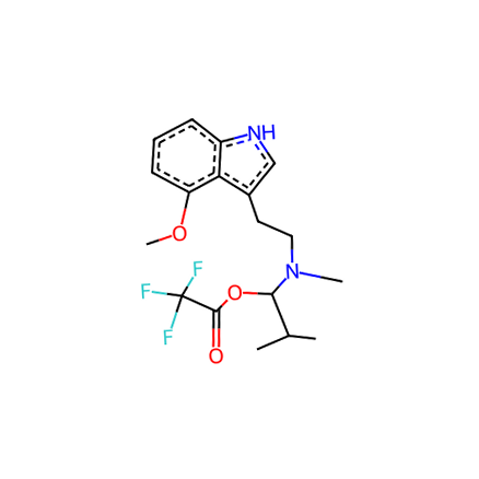 COc1cccc2[nH]cc(CCN(C)C(OC(=O)C(F)(F)F)C(C)C)c12